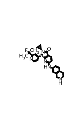 CC(C)(F)c1cc(-n2c3nc(Nc4ccc5c(c4)CNCC5)ccc3c(=O)n2C2CC2)ccn1